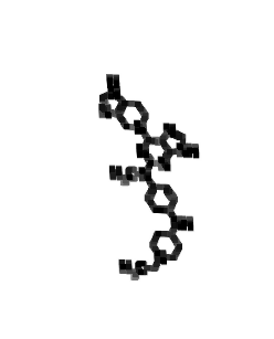 CCN1CCC(Nc2ccc(N(C)c3nc(N4CCc5[nH]cnc5C4)c4nc[nH]c4n3)cc2)CC1